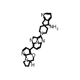 N[C@@H]1c2cccnc2CC12CCN(c1nc3ccc(-c4ccnc5c4OC[C@@H]4CCCN54)c4ncc1n34)CC2